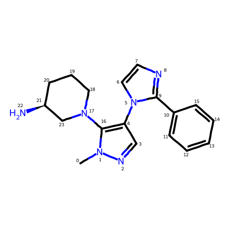 Cn1ncc(-n2ccnc2-c2ccccc2)c1N1CCC[C@H](N)C1